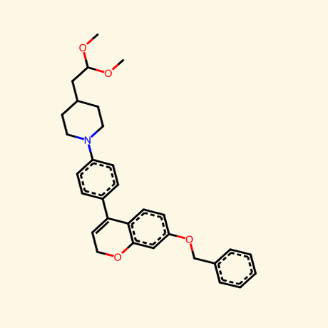 COC(CC1CCN(c2ccc(C3=CCOc4cc(OCc5ccccc5)ccc43)cc2)CC1)OC